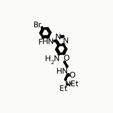 CCN(CC)CC(=O)NCCOc1cc2ncnc(Nc3ccc(Br)cc3F)c2cc1N